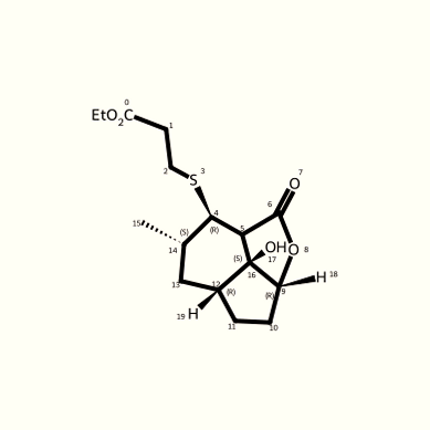 CCOC(=O)CCS[C@H]1C2C(=O)O[C@@H]3CC[C@H](C[C@@H]1C)[C@]23O